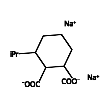 CC(C)C1CCCC(C(=O)[O-])C1C(=O)[O-].[Na+].[Na+]